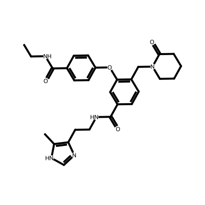 CCNC(=O)c1ccc(Oc2cc(C(=O)NCCc3nc[nH]c3C)ccc2CN2CCCCC2=O)cc1